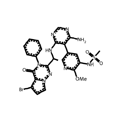 COc1ncc(-c2c(N)ncnc2NC(C)c2nn3ccc(Br)c3c(=O)n2-c2ccccc2)cc1NS(C)(=O)=O